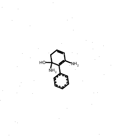 NC1=C(c2ccccc2)C(N)(O)CC=C1